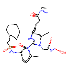 Cc1ccc(NS(=O)(=O)CC2CCCCC2)c(=O)n1C1=NC(=CCC(=O)NC(C)(C)C)C(C)N1CC(=O)NO